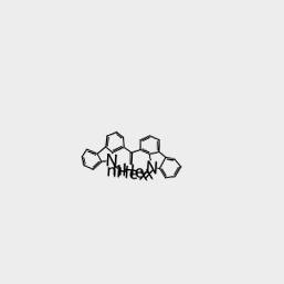 C=C(c1cccc2c3ccccc3n(CCCCCC)c12)c1cccc2c3ccccc3n(CCCCCC)c12